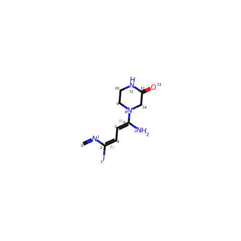 C=N/C(I)=C\C=C(/N)N1CCNC(=O)C1